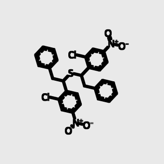 O=[N+]([O-])c1ccc(C(Cc2ccccc2)SC(Cc2ccccc2)c2ccc([N+](=O)[O-])cc2Cl)c(Cl)c1